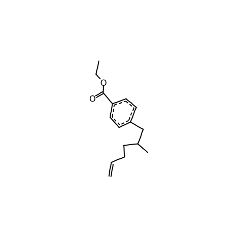 C=CCCC(C)Cc1ccc(C(=O)OCC)cc1